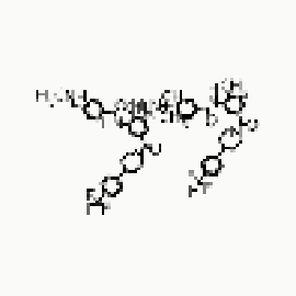 CNCc1ccc(C(=O)Nc2cc(C(=O)N3CCC(c4ccc(C(F)(F)F)cc4)CC3)ccc2C)cc1.Cc1ccc(C(=O)N2CCC(c3ccc(C(F)(F)F)cc3)CC2)cc1NC(=O)c1ccc(C(C)(C)N)cc1